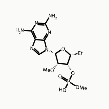 CC[C@H]1O[C@@H](n2cnc3c(N)nc(N)nc32)[C@@H](OC)[C@H]1OP(=O)(O)OC